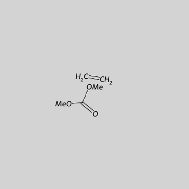 C=C.COC(=O)OC